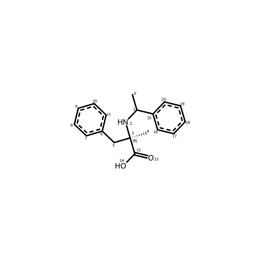 CC(N[C@](C)(Cc1ccccc1)C(=O)O)c1ccccc1